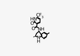 Cc1ccc2c(c1)C(NC(=O)c1ccc(C(F)(F)F)[nH]c1=O)C[C@H](C)N2